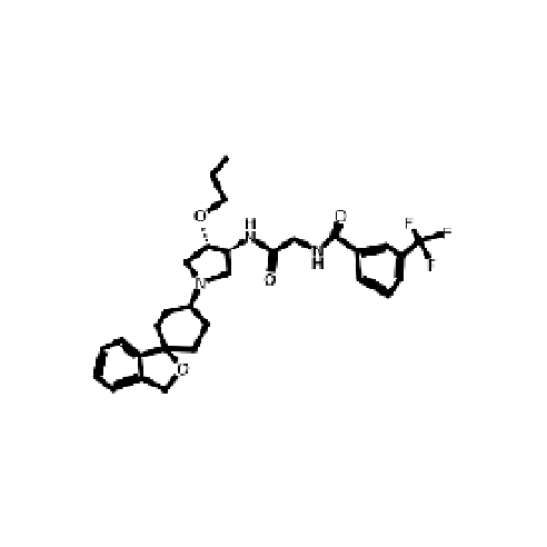 CCCO[C@H]1CN(C2CCC3(CC2)OCc2ccccc23)C[C@@H]1NC(=O)CNC(=O)c1cccc(C(F)(F)F)c1